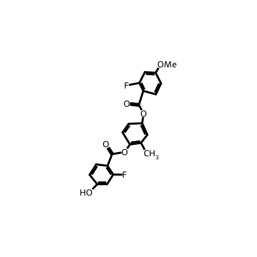 COc1ccc(C(=O)Oc2ccc(OC(=O)c3ccc(O)cc3F)c(C)c2)c(F)c1